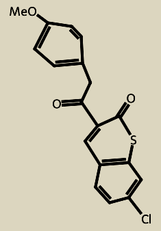 COc1ccc(CC(=O)c2cc3ccc(Cl)cc3sc2=O)cc1